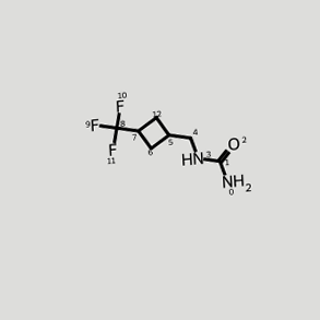 NC(=O)NCC1CC(C(F)(F)F)C1